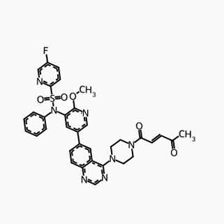 COc1ncc(-c2ccc3ncnc(N4CCN(C(=O)/C=C/C(C)=O)CC4)c3c2)cc1N(c1ccccc1)S(=O)(=O)c1ccc(F)cn1